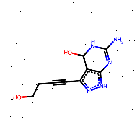 NC1=Nc2[nH]nc(C#CCCO)c2C(O)N1